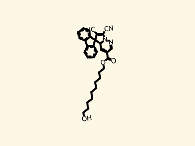 N#CC1=C(C#N)C2(c3ccccc3-c3ccccc32)C2C=C(C(=O)OCCCCCCCCCCO)C=NN12